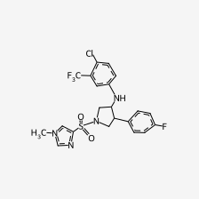 Cn1cnc(S(=O)(=O)N2CC(Nc3ccc(Cl)c(C(F)(F)F)c3)C(c3ccc(F)cc3)C2)c1